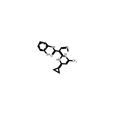 C/N=C\C(C(=O)Nc1ccccc1S)=C1/NC(C(F)(F)F)=CC(=C2CC2)N1